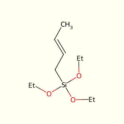 CC=CC[Si](OCC)(OCC)OCC